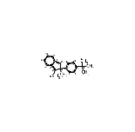 CC(C)(C)c1ccc(C2(C)C=c3ccccc3=C2[SiH3])cc1